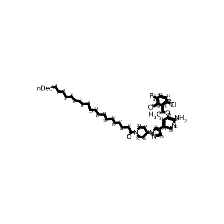 CCCCCCCCCCCCCCCCCCCCCCCCCCCCCC(=O)N1CCC(n2cc(-c3cnc(N)c(O[C@H](C)c4c(Cl)ccc(F)c4Cl)c3)cn2)CC1